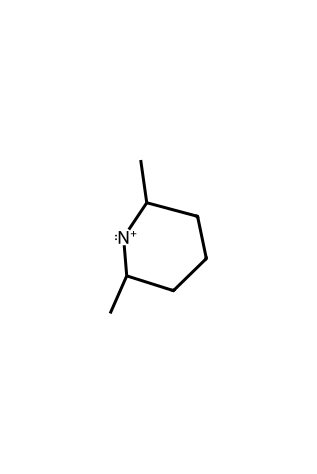 CC1CCCC(C)[N+]1